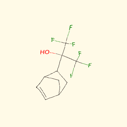 OC(C1CC2C=CC1C2)(C(F)(F)F)C(F)(F)F